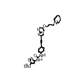 CC(C)(C)c1cc(NC(=O)Nc2ccc(C#Cc3cn4cc(OCCCN5CCCCC5)cnc4n3)cc2)no1